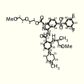 COCCOCCOC(=O)n1nc(NC(=O)c2ccc(N3CCN(C)CC3)cc2N[C@H](C)COC)c2cc(S(=O)(=O)c3cc(F)cc(F)c3)ccc21